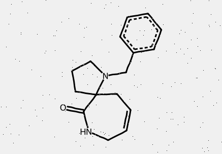 O=C1NCC=CCC12CCCN2Cc1ccccc1